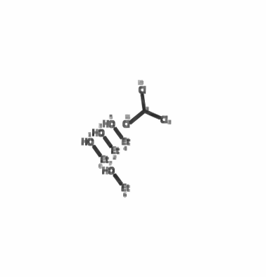 CCO.CCO.CCO.CCO.ClC(Cl)Cl